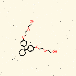 OCCOCCOc1ccc(C2(c3ccc(OCCOCCO)cc3)CCCCC2)cc1